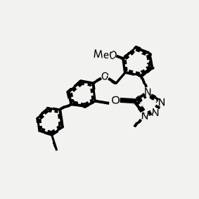 COc1cccc(-n2nnn(C)c2=O)c1COc1ccc(-c2cccc(C)c2)cc1C